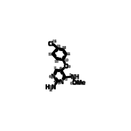 CONc1nc(N)ncc1Oc1ccc(Cl)cc1